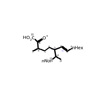 CCCCCC/C=C/C(CCC(C)C(=O)C(=O)O)C(C)CCCCCCCCC